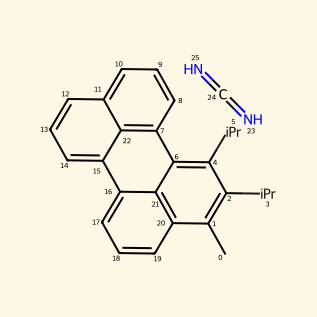 Cc1c(C(C)C)c(C(C)C)c2c3cccc4cccc(c5cccc1c52)c43.N=C=N